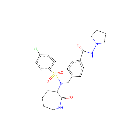 O=C(NN1CCCC1)c1ccc(CN(C2CCCCNC2=O)S(=O)(=O)c2ccc(Cl)cc2)cc1